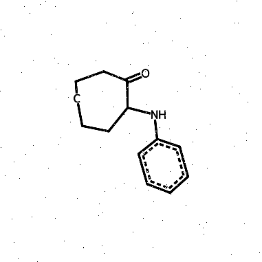 O=C1CCCCCC1Nc1ccccc1